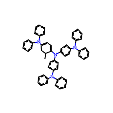 CC1CC(N(c2ccccc2)c2ccccc2)=CC=C1N(c1ccc(N(c2ccccc2)c2ccccc2)cc1)c1ccc(N(c2ccccc2)c2ccccc2)cc1